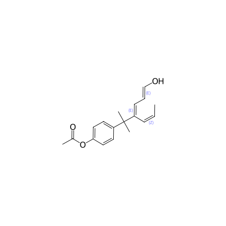 C\C=C/C(=C\C=C\O)C(C)(C)c1ccc(OC(C)=O)cc1